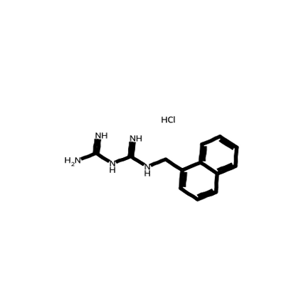 Cl.N=C(N)NC(=N)NCc1cccc2ccccc12